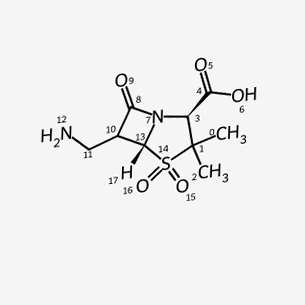 CC1(C)[C@H](C(=O)O)N2C(=O)C(CN)[C@H]2S1(=O)=O